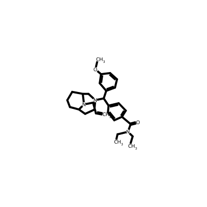 C=CCN1C2CCCC1CN(C(c1ccc(C(=O)N(CC)CC)cc1)c1cccc(OC)c1)CC2